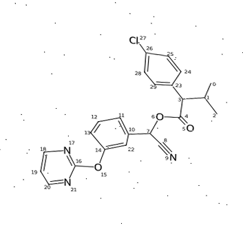 CC(C)C(C(=O)OC(C#N)c1cccc(Oc2ncccn2)c1)c1ccc(Cl)cc1